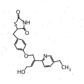 CCc1ccc(/C(=C/CO)COc2ccc(CC3SC(=O)NC3=O)cc2)nc1